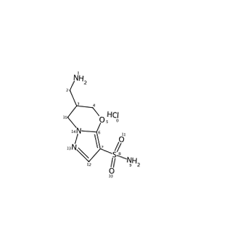 Cl.NCC1COc2c(S(N)(=O)=O)cnn2C1